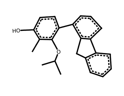 Cc1c(O)ccc(-c2cccc3c2Cc2ccccc2-3)c1OC(C)C